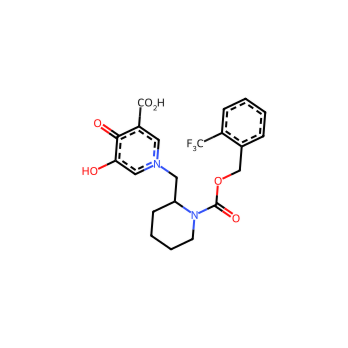 O=C(O)c1cn(CC2CCCCN2C(=O)OCc2ccccc2C(F)(F)F)cc(O)c1=O